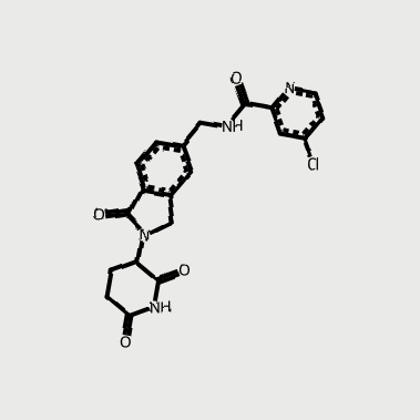 O=C1CCC(N2Cc3cc(CNC(=O)c4cc(Cl)ccn4)ccc3C2=O)C(=O)N1